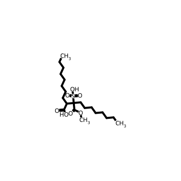 CCCCCCCCC(C(=O)O)C(CCCCCCCC)(C(=O)OC)S(=O)(=O)O